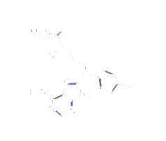 CNC(=O)[C@H](N)CCCOc1ccc(Cl)c(Cl)c1Cn1cnc2c(N)ncnc21